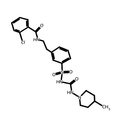 CC1CCN(NC(=O)NS(=O)(=O)c2cccc(CCNC(=O)c3ccccc3Cl)c2)CC1